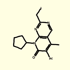 CC(=O)c1c(C)c2cnc(CI)nc2n(C2CCCC2)c1=O